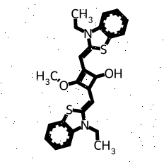 CCN1/C(=C/C2=C(OC)C(/C=C3\Sc4ccccc4N3CC)C2O)Sc2ccccc21